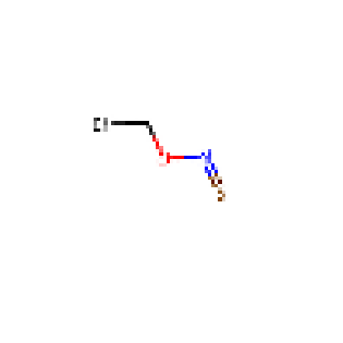 CCCON=S